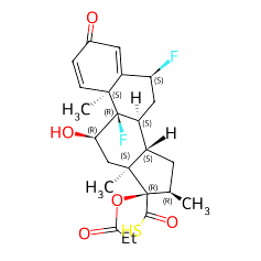 CCC(=O)O[C@]1(C(=O)S)[C@H](C)C[C@H]2[C@@H]3C[C@H](F)C4=CC(=O)C=C[C@]4(C)[C@@]3(F)[C@H](O)C[C@@]21C